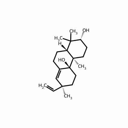 C=C[C@@]1(C)C=C2CC[C@@H]3C(C)(C)[C@H](O)CC[C@@]3(C)[C@]2(O)CC1